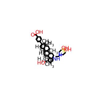 CC(C)(O)[C@@H]1CC[C@]2(NCCN3CCS(O)(O)CC3)CC[C@]3(C)[C@H](CC[C@@H]4[C@@]5(C)CC=C(c6ccc(C(=O)O)cc6)C(C)(C)[C@@H]5CC[C@]43C)[C@@H]12